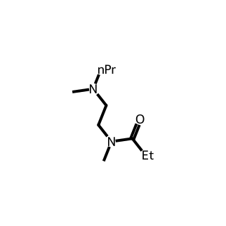 CCCN(C)CCN(C)C(=O)CC